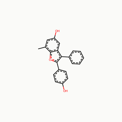 Cc1cc(O)cc2c(-c3ccccc3)c(-c3ccc(O)cc3)oc12